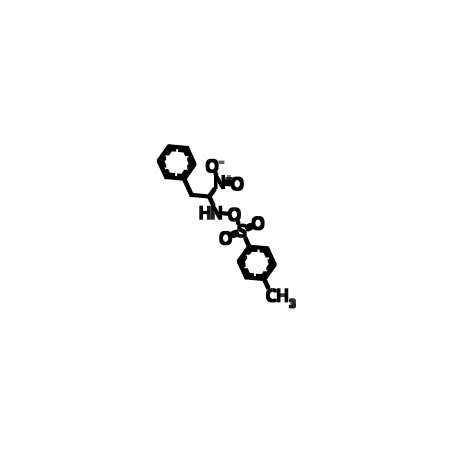 Cc1ccc(S(=O)(=O)ONC(Cc2ccccc2)[N+](=O)[O-])cc1